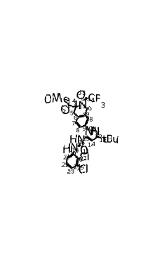 COC(=O)C1(C)Cc2ccc(-n3nc(C(C)(C)C)cc3NC(=O)Nc3cccc(Cl)c3Cl)cc2CN1C(=O)C(F)(F)F